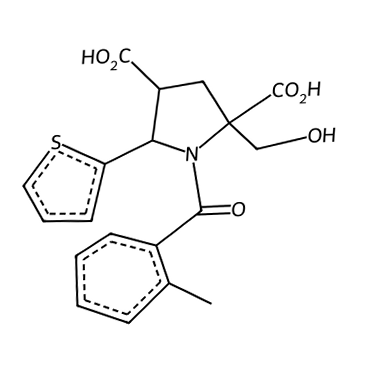 Cc1ccccc1C(=O)N1C(c2cccs2)C(C(=O)O)CC1(CO)C(=O)O